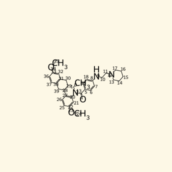 CCN(C(=O)c1ccc(NCCN2CCCCC2)cc1)c1cc(OC)ccc1C1CCc2cc(OC)ccc2C1